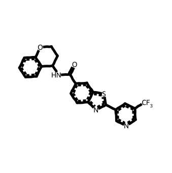 O=C(NC1CCOc2ccccc21)c1ccc2nc(-c3cncc(C(F)(F)F)c3)sc2c1